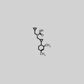 CCCC(=O)N(CC1CC1)CC1CC1C1CCC(C)=CC1C